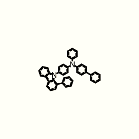 c1ccc(-c2ccc(N(c3ccccc3)c3ccc(-n4c5ccccc5c5cccc(-c6ccccc6)c54)cc3)cc2)cc1